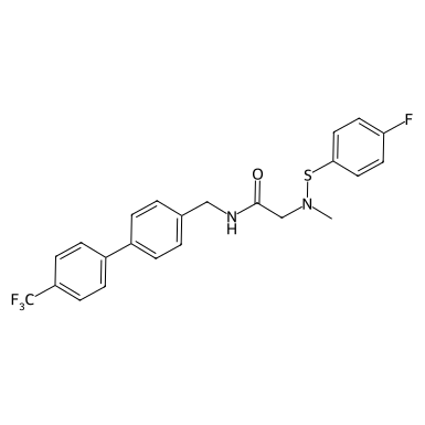 CN(CC(=O)NCc1ccc(-c2ccc(C(F)(F)F)cc2)cc1)Sc1ccc(F)cc1